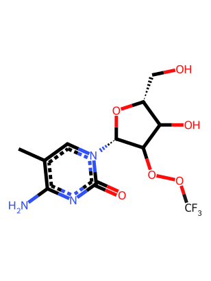 Cc1cn([C@@H]2O[C@H](CO)C(O)C2OOC(F)(F)F)c(=O)nc1N